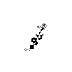 C[Si](C)(C)CCOCN1C(=O)CCN(c2cccc3c2ccn3C2CC(C=O)C2)C1=O